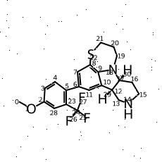 COc1ccc(-c2cc3c4c(c2)[C@H]2CNCC[C@H]2N4CCCS3)c(C(F)(F)F)c1